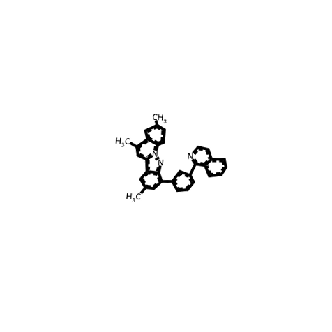 Cc1ccc2c(c1)c(C)cc1c3cc(C)cc(-c4cccc(-c5nccc6ccccc56)c4)c3nn21